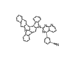 N#Cc1cccc(-c2nc(-n3c4ccccc4c4c5c6cc7ccccc7cc6n6c7ccccc7c(cc43)c56)nc3ncccc23)c1